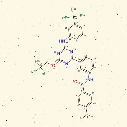 CC(C)c1ccc(C(=O)Nc2cccc(-c3nc(Nc4cccc(C(F)(F)F)c4)nc(OCC(F)(F)F)n3)c2)cc1